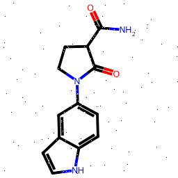 NC(=O)C1CCN(c2ccc3[nH]ccc3c2)C1=O